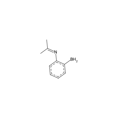 Bc1ccccc1N=C(C)C